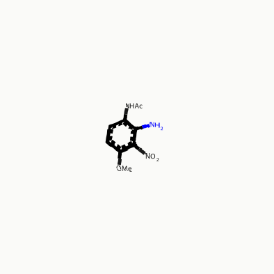 COc1ccc(NC(C)=O)c(N)c1[N+](=O)[O-]